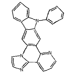 c1ccc(-n2c3ccccc3c3cc4c(cc32)c2ncccc2c2nccn42)cc1